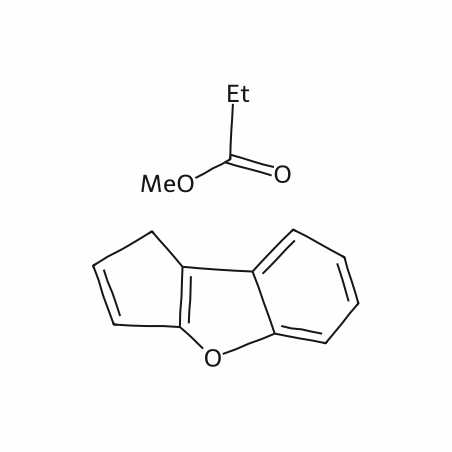 C1=Cc2oc3ccccc3c2C1.CCC(=O)OC